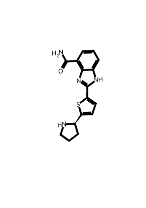 NC(=O)c1cccc2[nH]c(-c3ccc([C@H]4CCCN4)s3)nc12